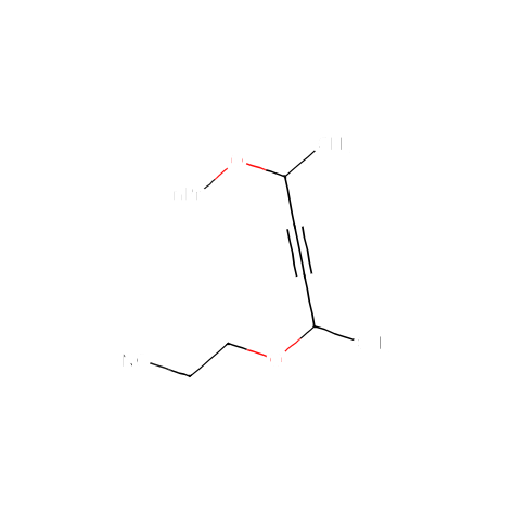 CCCOC(C)C#CC(C)OCCC#N